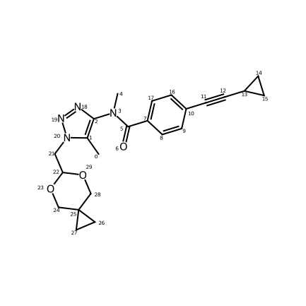 Cc1c(N(C)C(=O)c2ccc(C#CC3CC3)cc2)nnn1CC1OCC2(CC2)CO1